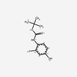 CC(C)(C)OC(=O)Nc1ccc(O)cc1F